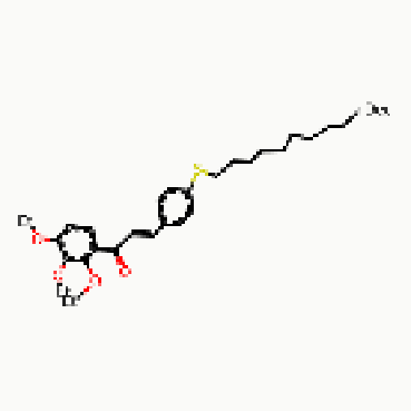 CCCCCCCCCCCCCCCCCCCSc1ccc(C=CC(=O)c2ccc(OCC)c(OCC)c2OCC)cc1